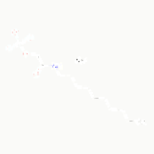 CC(=O)CCCCCCCCCNC(=O)COS(=O)(=O)[O-].[Na+]